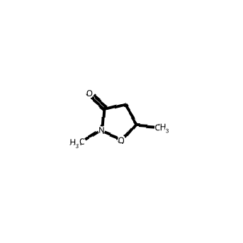 CC1CC(=O)N(C)O1